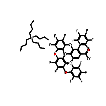 CCCC[N+](CCCC)(CCCC)CCCC.O=C([O-])c1cc(Oc2c(F)c(F)c(F)c(F)c2F)c(Oc2c(F)c(F)c(F)c(F)c2F)c(Oc2c(F)c(F)c(F)c(F)c2F)c1-c1c(F)c(F)c(F)c(F)c1F